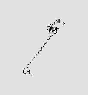 CCCCCCCCCC=CC=CC=CC=CC=CC=CC(=O)OP(=O)(O)OCCN